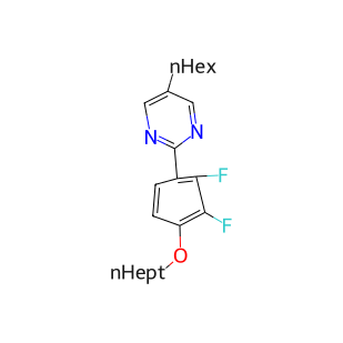 CCCCCCCOc1ccc(-c2ncc(CCCCCC)cn2)c(F)c1F